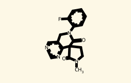 CN1CCC2(C1=O)C(=O)N(c1ccccc1F)Cc1cncnc12